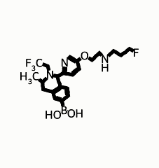 CC1Cc2cc(B(O)O)ccc2C(c2ccc(OCCNCCCF)cn2)N1CC(F)(F)F